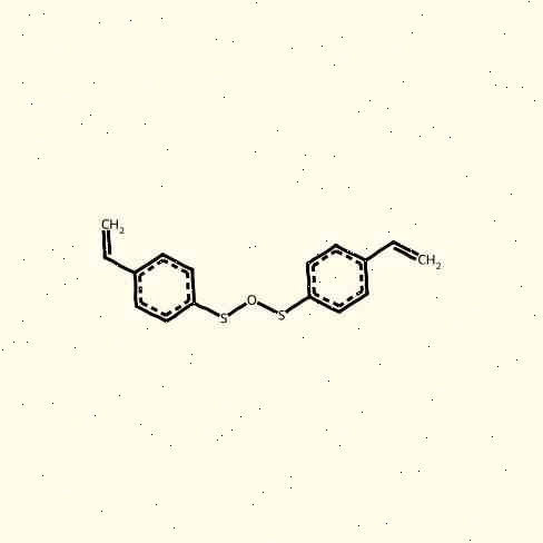 C=Cc1ccc(SOSc2ccc(C=C)cc2)cc1